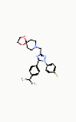 CC(C)c1ccc(-c2nc(CN3CCC4(CC3)OCCO4)nn2-c2ccc(F)cc2)cc1